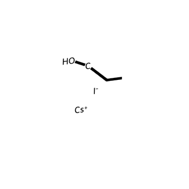 CCCO.[Cs+].[I-]